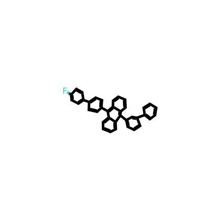 Fc1ccc(-c2ccc(-c3c4ccccc4c(-c4cccc(-c5ccccc5)c4)c4ccccc34)cc2)cc1